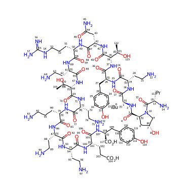 CC[C@H](C)[C@H](NC(=O)[C@@H]1C[C@@H](O)CN1C(=O)[C@@H](N)C(C)C)C(=O)N[C@@H](CCN)C(=O)N[C@@H](Cc1ccc(O)cc1)C(=O)N[C@H](C(=O)N[C@@H](CC(N)=O)C(=O)N[C@@H](CCCNC(=N)N)C(=O)N[C@@H](CCN)C(=O)N[C@H](C(=O)N[C@H](CCN)C(=O)N[C@@H](CCCN)C(=O)N[C@@H](CCN)C(=O)N[C@@H](CCN)C(=O)N[C@@H](CCC(=O)O)C(=O)N[C@@H](Cc1ccc(O)cc1)C(=O)O)[C@@H](C)O)[C@@H](C)O